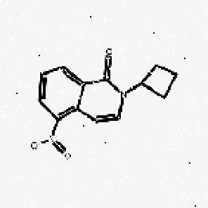 O=c1c2cccc([N+](=O)[O-])c2ccn1C1CCC1